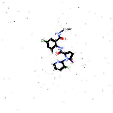 CC(=O)NNC(=O)c1cc(Cl)cc(C)c1NC(=O)c1ccc(I)n1-c1ncccc1Cl